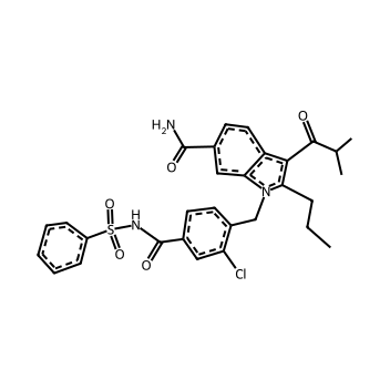 CCCc1c(C(=O)C(C)C)c2ccc(C(N)=O)cc2n1Cc1ccc(C(=O)NS(=O)(=O)c2ccccc2)cc1Cl